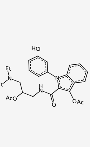 CCN(CC)CC(CNC(=O)c1c(OC(C)=O)c2ccccc2n1-c1ccccc1)OC(C)=O.Cl